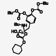 CCC(C)N[C@@](Cc1ccc(OC(=O)OC(C)CC)c(OC(=O)OC(C)CC)c1)(OC(=O)OC1CCCCC1)C(=O)O